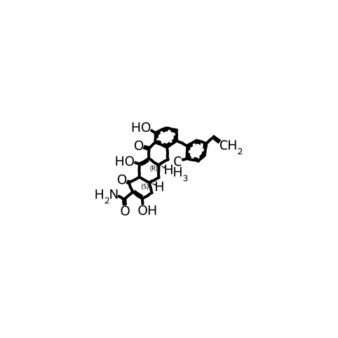 C=Cc1ccc(C)c(-c2ccc(O)c3c2C[C@H]2C[C@H]4CC(O)=C(C(N)=O)C(=O)C4C(O)=C2C3=O)c1